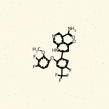 COc1c(Oc2cc(C(F)(F)F)c(F)cc2-c2cc(=O)c3c(C(N)=O)cncc3[nH]2)ccc(F)c1F